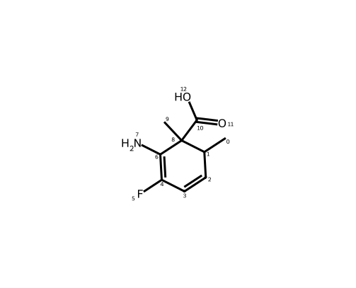 CC1C=CC(F)=C(N)C1(C)C(=O)O